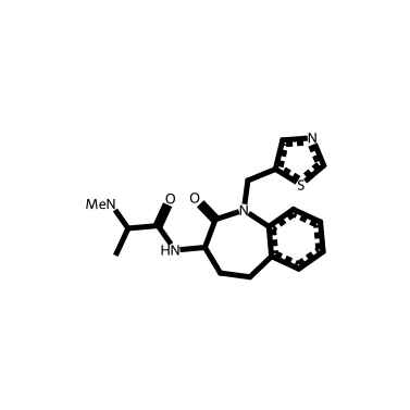 CNC(C)C(=O)NC1CCc2ccccc2N(Cc2cncs2)C1=O